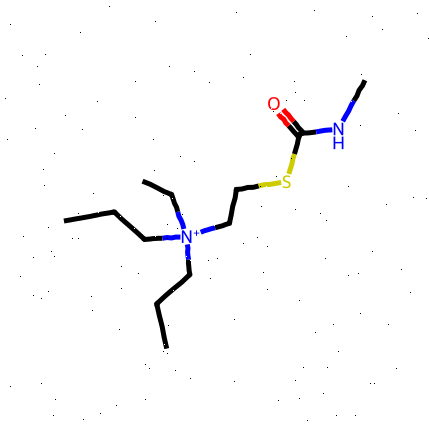 CCC[N+](CC)(CCC)CCSC(=O)NC